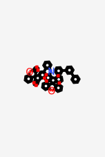 c1ccc(-c2cccc(-c3ccc(N(c4ccccc4-c4ccc5c(c4)C4(c6ccccc6Oc6ccccc64)c4ccccc4-5)c4cccc5c4-c4ccccc4C54c5ccccc5Oc5ccccc54)cc3)c2)cc1